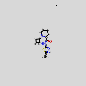 CC(C)(C)c1nnc(NC(=O)[C@@H]2CCCCN2C2CCC2)s1